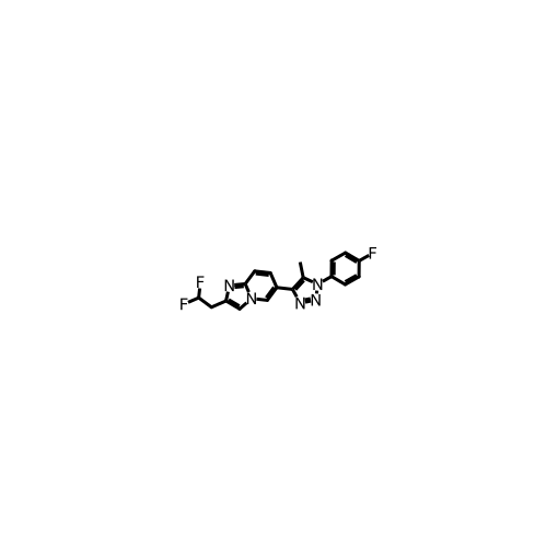 Cc1c(-c2ccc3nc(CC(F)F)cn3c2)nnn1-c1ccc(F)cc1